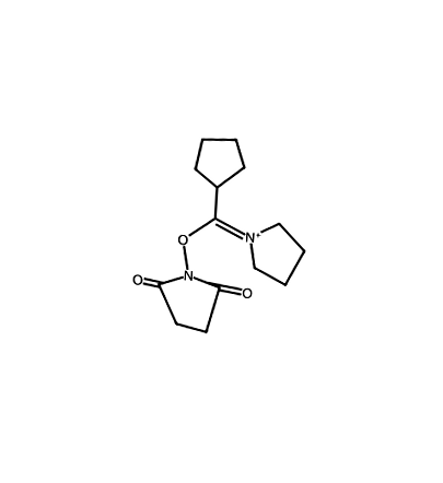 O=C1CCC(=O)N1OC(C1CCCC1)=[N+]1CCCC1